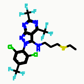 CCSCCCNc1c2c(C(F)(F)F)nc(C(F)(F)F)nc2nn1-c1c(Cl)cc(C(F)(F)F)cc1Cl